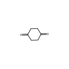 O=C1[CH]CC(=O)[CH]C1